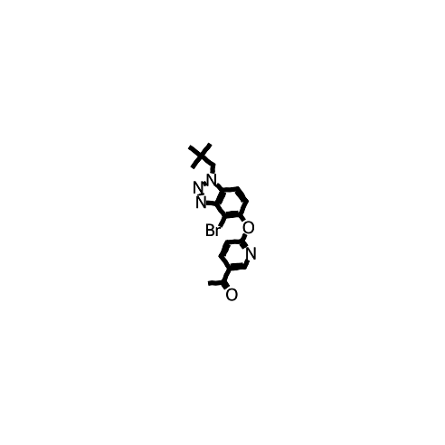 CC(=O)c1ccc(Oc2ccc3c(nnn3CC(C)(C)C)c2Br)nc1